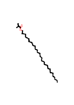 C=C(C)C(=O)OCCCCCCCCCCCCCCCCCCCCCCCCCCCC